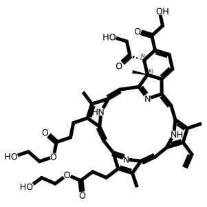 C=Cc1c(C)c2cc3nc(cc4[nH]c(cc5nc(cc1[nH]2)C(C)=C5CCC(=O)OCCO)c(CCC(=O)OCCO)c4C)[C@@]1(C)C3=CC=C(C(=O)CO)[C@H]1C(=O)CO